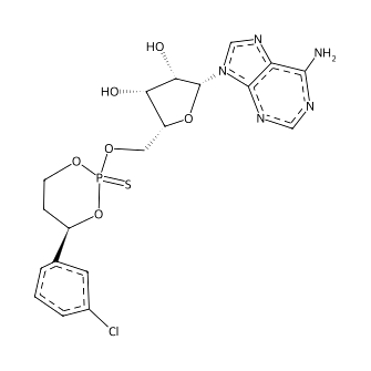 Nc1ncnc2c1ncn2[C@@H]1O[C@H](COP2(=S)OCC[C@H](c3cccc(Cl)c3)O2)[C@H](O)[C@@H]1O